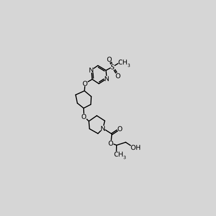 CC(CO)OC(=O)N1CCC(OC2CCC(Oc3cnc(S(C)(=O)=O)cn3)CC2)CC1